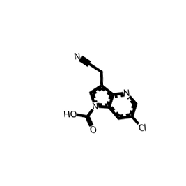 N#CCc1cn(C(=O)O)c2cc(Cl)cnc12